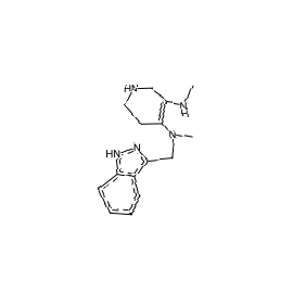 CNC1=C(N(C)Cc2n[nH]c3ccccc23)CCNC1